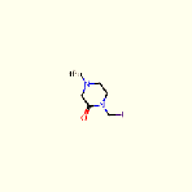 CC(C)(C)N1CCN(CI)C(=O)C1